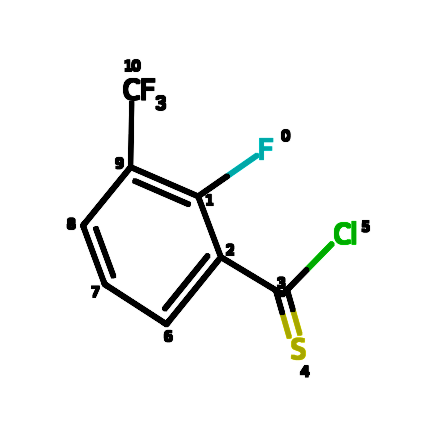 Fc1c(C(=S)Cl)cccc1C(F)(F)F